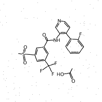 CC(=O)O.CS(=O)(=O)c1cc(C(=O)Nc2cnccc2-c2ccccc2F)cc(C(F)(F)F)c1